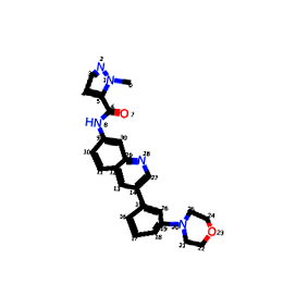 Cn1nccc1C(=O)Nc1ccc2cc(-c3cccc(N4CCOCC4)c3)cnc2c1